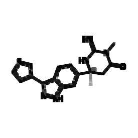 CN1C(=N)N[C@](C)(c2ccc3c(-c4ccsc4)n[nH]c3c2)CC1=O